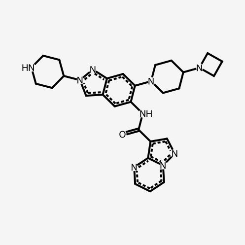 O=C(Nc1cc2cn(C3CCNCC3)nc2cc1N1CCC(N2CCC2)CC1)c1cnn2cccnc12